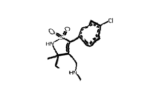 CNCC1=C(c2ccc(Cl)cc2)S(=O)(=O)NC1(C)C